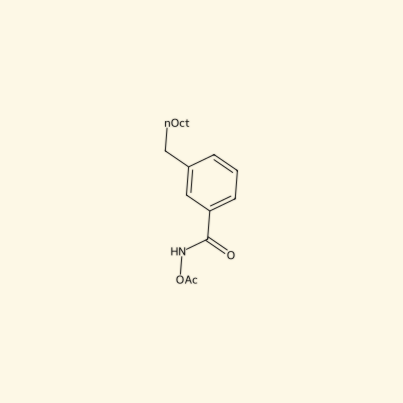 CCCCCCCCCc1cccc(C(=O)NOC(C)=O)c1